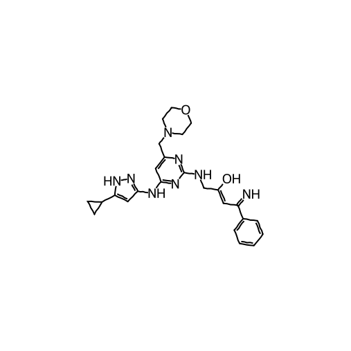 N=C(/C=C(\O)CNc1nc(CN2CCOCC2)cc(Nc2cc(C3CC3)[nH]n2)n1)c1ccccc1